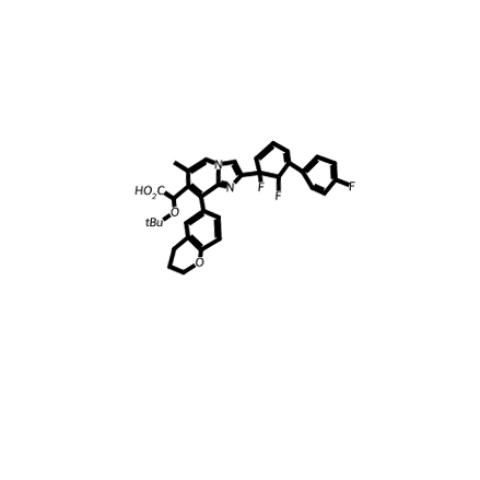 Cc1cn2cc(C3(F)C=CC=C(c4ccc(F)cc4)C3F)nc2c(-c2ccc3c(c2)CCCO3)c1C(OC(C)(C)C)C(=O)O